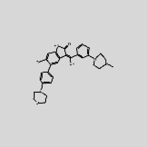 CN1CCN(c2cccc(/C(O)=C3\C(=O)Nc4cc(Cl)c(-c5ccc(N6CCOCC6)cc5)cc43)c2)CC1